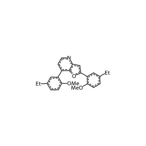 CCc1ccc(OC)c(-c2cc3nccc(-c4cc(CC)ccc4OC)c3o2)c1